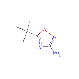 CC(C)(C)c1nc(N)no1